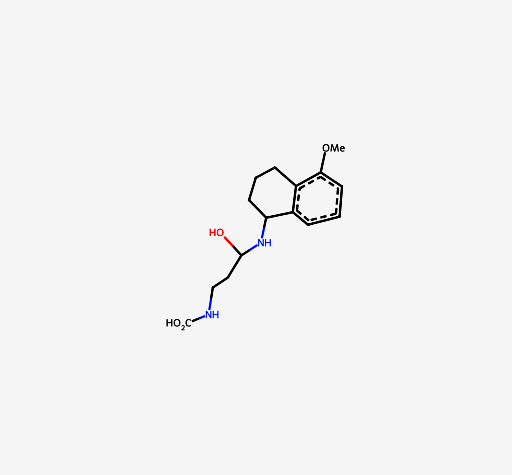 COc1cccc2c1CCCC2NC(O)CCNC(=O)O